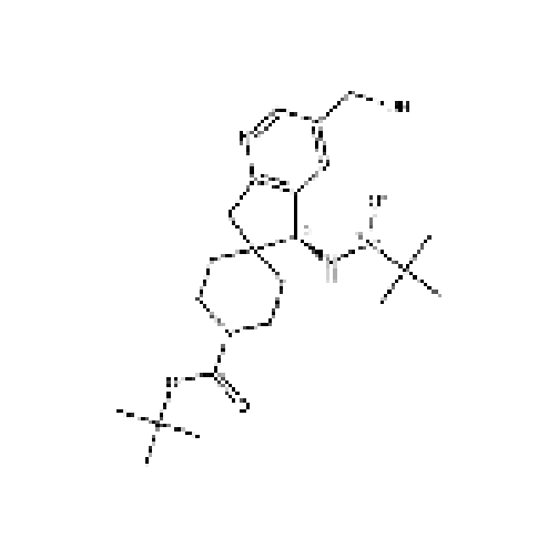 CC(C)(C)OC(=O)N1CCC2(CC1)Cc1ncc(CO)cc1[C@H]2N[S@+]([O-])C(C)(C)C